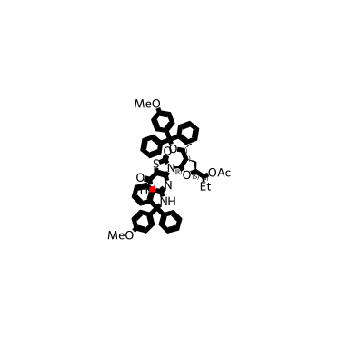 CC[C@H](OC(C)=O)[C@@H]1C[C@@H]([C@@H](C)OC(c2ccccc2)(c2ccccc2)c2ccc(OC)cc2)[C@H](n2c(=O)sc3c(=O)[nH]c(NC(c4ccccc4)(c4ccccc4)c4ccc(OC)cc4)nc32)O1